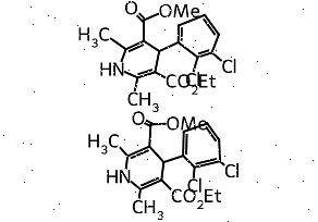 CCOC(=O)C1=C(C)NC(C)=C(C(=O)OC)C1c1cccc(Cl)c1Cl.CCOC(=O)C1=C(C)NC(C)=C(C(=O)OC)C1c1cccc(Cl)c1Cl